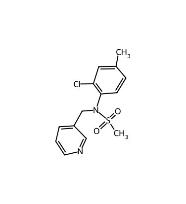 Cc1ccc(N(Cc2cccnc2)S(C)(=O)=O)c(Cl)c1